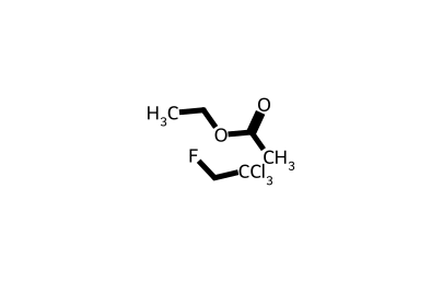 CCOC(C)=O.FCC(Cl)(Cl)Cl